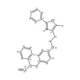 Cc1oc(-c2ccccc2)nc1CCOc1ccc(CC(C(=O)O)c2ccccc2)cc1